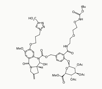 C=C1C[C@H]2C(O)N(C(=O)OCc3ccc(O[C@@H]4O[C@H](C(=O)OC)[C@@H](OC(C)=O)[C@H](OC(C)=O)[C@H]4OC(C)=O)c(C(=O)NCCOCCONC(=O)OC(C)(C)C)c3)c3cc(OCCCn4cc(C(=O)O)nn4)c(OC)cc3C(=O)N2C1